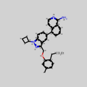 CCOC(=O)Cc1ccc(C)cc1OCc1nn(C2CCC2)c2ccc(-c3cccc4c(N)nccc34)cc12